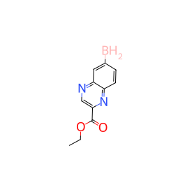 Bc1ccc2nc(C(=O)OCC)cnc2c1